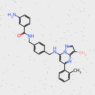 Bc1cnn2c(NCc3ccc(CNC(=O)c4cccc(N)c4)cc3)cc(-c3ccccc3C)nc12